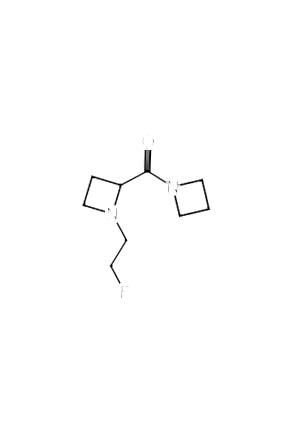 O=C(C1CCN1CCF)N1C[CH]C1